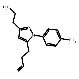 CCCc1cc(CCC=O)n(-c2ccc(C)cc2)n1